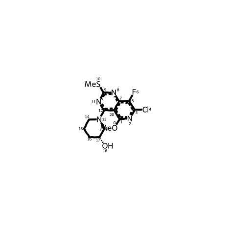 COc1nc(Cl)c(F)c2nc(SC)nc(N3CCC[C@@H](O)C3)c12